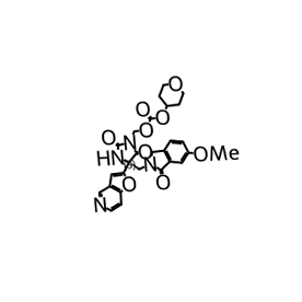 COc1ccc2c(c1)C(=O)N(C[C@@]1(c3cc4cnccc4o3)NC(=O)N(COC(=O)OC3CCOCC3)C1=O)C2